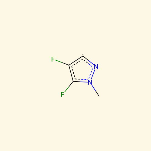 Cn1n[c]c(F)c1F